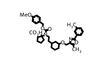 COc1ccc(COC(=O)N(CCC2CCCC(OCc3nc(-c4cccc(C)c4)oc3C)C2)C2(C(=O)O)CCCC2)cc1